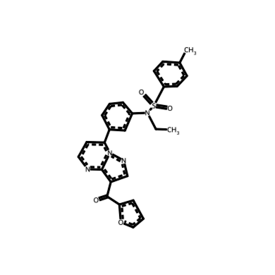 CCN(c1cccc(-c2ccnc3c(C(=O)c4ccco4)cnn23)c1)S(=O)(=O)c1ccc(C)cc1